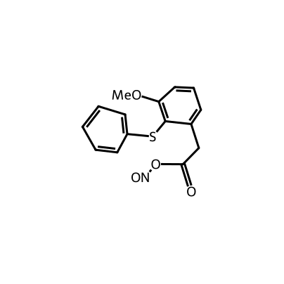 COc1cccc(CC(=O)ON=O)c1Sc1ccccc1